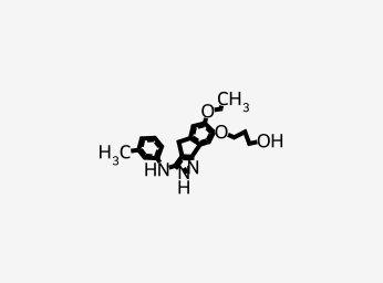 CCOc1cc2c(cc1OCCCO)-c1n[nH]c(Nc3cccc(C)c3)c1C2